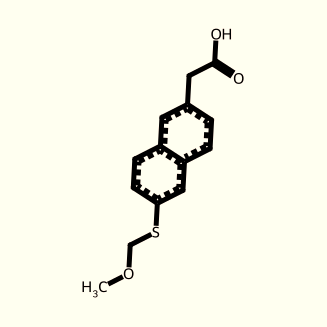 COCSc1ccc2cc(CC(=O)O)ccc2c1